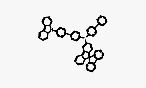 C1=CC2=C3C=CC=CC3N(c3ccc(-c4ccc(N(C5=CC6=C7C=CC=CC7C7(c8ccccc8-c8ccccc87)C6C=C5)c5ccc(-c6ccccc6)cc5)cc4)cc3)C2C=C1